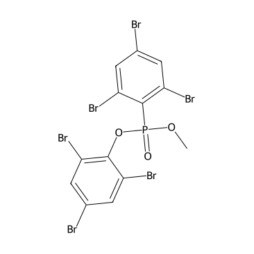 COP(=O)(Oc1c(Br)cc(Br)cc1Br)c1c(Br)cc(Br)cc1Br